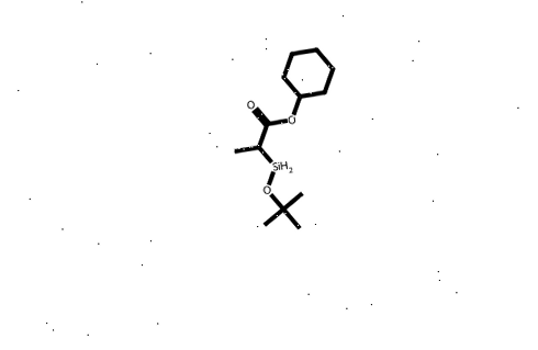 CC([SiH2]OC(C)(C)C)C(=O)OC1CCCCC1